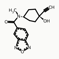 C#C[C@]1(O)CC[C@H](N(C)C(=O)c2ccc3nonc3c2)CC1